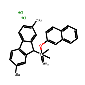 CC(C)(C)c1ccc2c(c1)[CH]([Ti]([CH3])([CH3])(=[SiH2])[O]c1ccc3ccccc3c1)c1cc(C(C)(C)C)ccc1-2.Cl.Cl